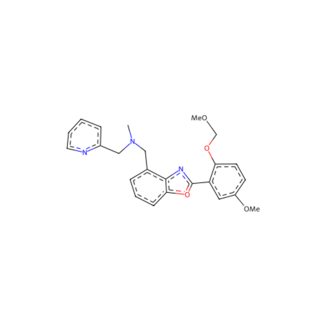 COCOc1ccc(OC)cc1-c1nc2c(CN(C)Cc3ccccn3)cccc2o1